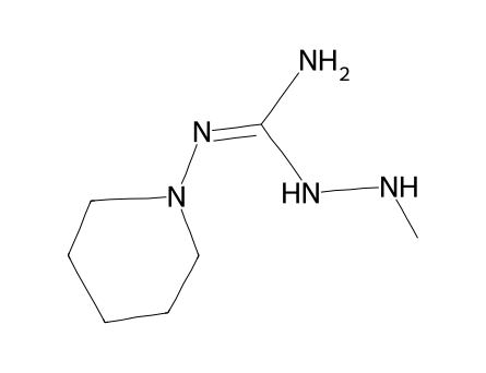 CNNC(N)=NN1CCCCC1